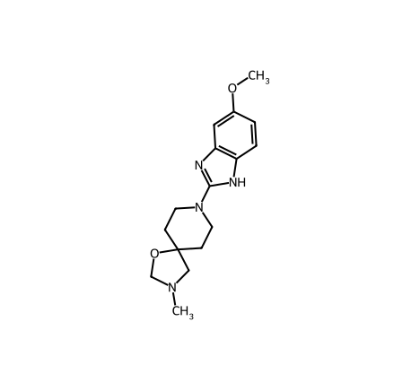 COc1ccc2[nH]c(N3CCC4(CC3)CN(C)CO4)nc2c1